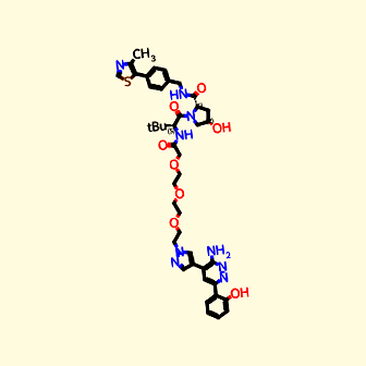 Cc1ncsc1-c1ccc(CNC(=O)[C@@H]2C[C@@H](O)CN2C(=O)[C@@H](NC(=O)COCCOCCOCCn2cc(-c3cc(-c4ccccc4O)nnc3N)cn2)C(C)(C)C)cc1